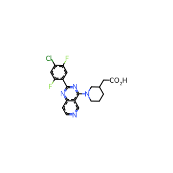 O=C(O)CC1CCCN(c2nc(-c3cc(F)c(Cl)cc3F)nc3ccncc23)C1